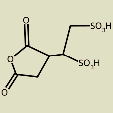 O=C1CC(C(CS(=O)(=O)O)S(=O)(=O)O)C(=O)O1